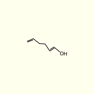 C=CCCC=CO